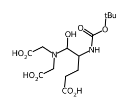 CC(C)(C)OC(=O)NC(CCC(=O)O)C(O)N(CC(=O)O)CC(=O)O